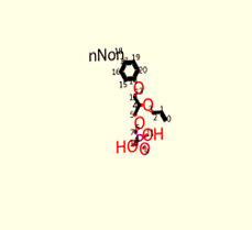 C=CCOC(COCP(=O)(O)O)COc1ccc(CCCCCCCCC)cc1